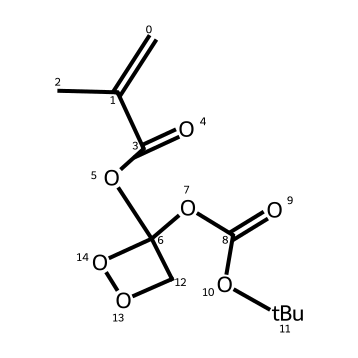 C=C(C)C(=O)OC1(OC(=O)OC(C)(C)C)COO1